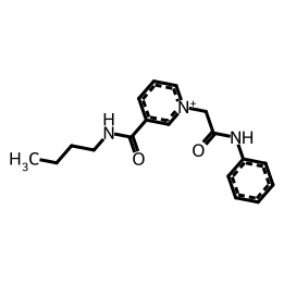 CCCCNC(=O)c1ccc[n+](CC(=O)Nc2ccccc2)c1